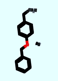 O=C(O)Cc1ccc(OCc2ccccc2)cc1.[Ag]